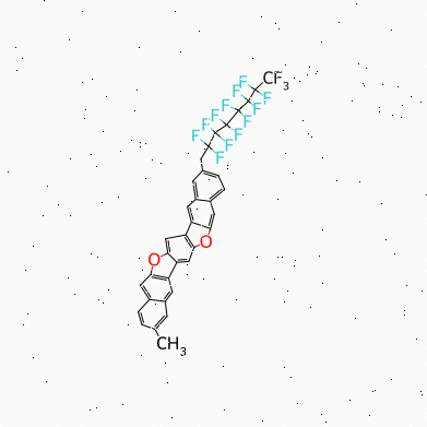 Cc1ccc2cc3oc4cc5c(cc4c3cc2c1)oc1cc2ccc(CC(F)(F)C(F)(F)C(F)(F)C(F)(F)C(F)(F)C(F)(F)C(F)(F)F)cc2cc15